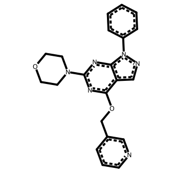 c1ccc(-n2ncc3c(OCc4cccnc4)nc(N4CCOCC4)nc32)cc1